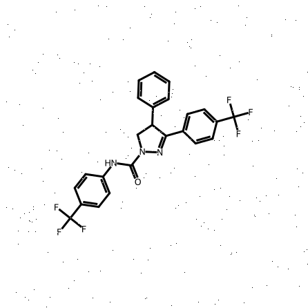 O=C(Nc1ccc(C(F)(F)F)cc1)N1CC(c2ccccc2)C(c2ccc(C(F)(F)F)cc2)=N1